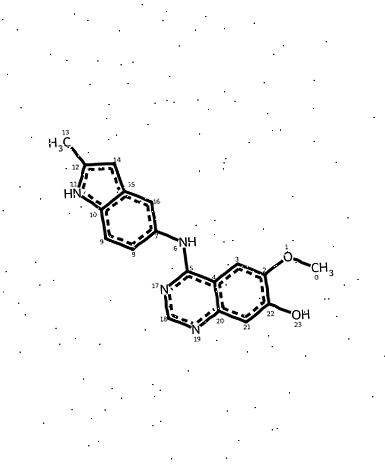 COc1cc2c(Nc3ccc4[nH]c(C)cc4c3)ncnc2cc1O